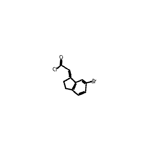 O=C(Cl)/C=C1\CCc2ccc(Br)cc21